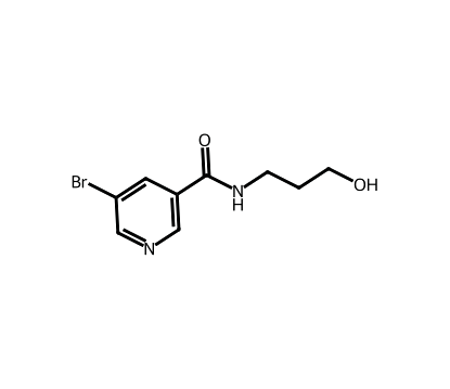 O=C(NCCCO)c1cncc(Br)c1